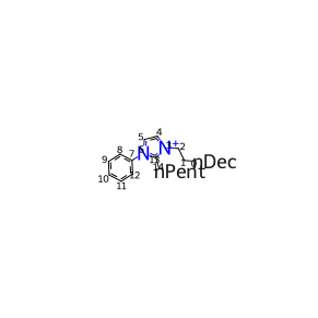 CCCCCCCCCCCC[n+]1ccn(-c2ccccc2)c1CCCCC